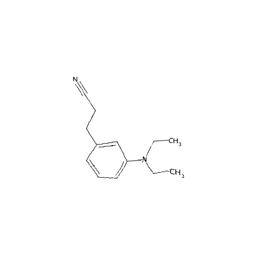 CCN(CC)c1cccc(CCC#N)c1